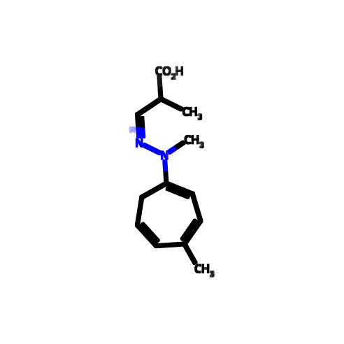 CC1=CC=C(N(C)/N=C\C(C)C(=O)O)CC=C1